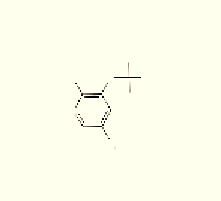 [2H]C([2H])([2H])Oc1cc(Cl)cnc1C(C)=O